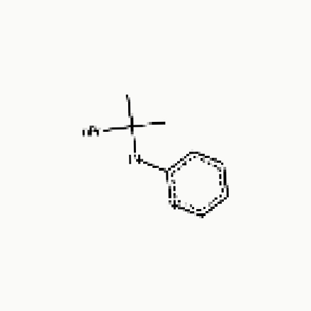 CCCC(C)(C)Nc1ccccn1